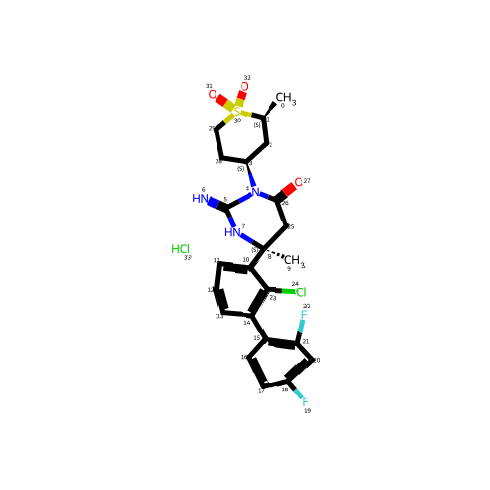 C[C@H]1C[C@@H](N2C(=N)N[C@](C)(c3cccc(-c4ccc(F)cc4F)c3Cl)CC2=O)CCS1(=O)=O.Cl